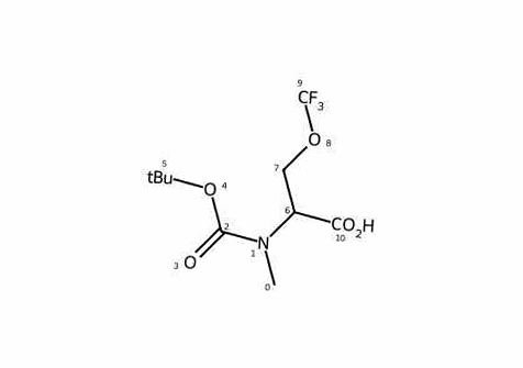 CN(C(=O)OC(C)(C)C)C(COC(F)(F)F)C(=O)O